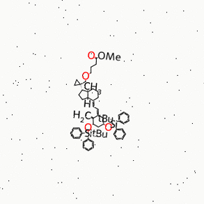 C=C1/C(=C\C=C2/CCC[C@]3(C)[C@@H](C4(COCCCC(=O)OC)CC4)CC[C@@H]23)C[C@@H](O[Si](c2ccccc2)(c2ccccc2)C(C)(C)C)C[C@@H]1O[Si](c1ccccc1)(c1ccccc1)C(C)(C)C